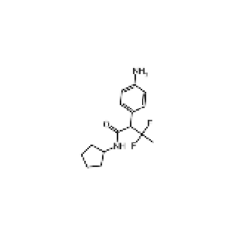 CC(F)(F)C(C(=O)NC1CCCC1)c1ccc(N)cc1